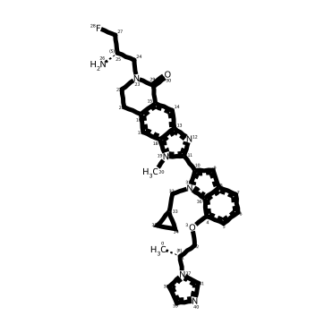 C[C@H](COc1cccc2cc(-c3nc4cc5c(cc4n3C)CCN(C[C@H](N)CF)C5=O)n(CC3CC3)c12)n1ccnc1